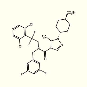 CCOC(=O)[C@H]1CC[C@H](n2ncc(C(=O)N(Cc3cc(F)cc(F)c3)CC(F)(F)c3c(Cl)cncc3Cl)c2C(F)(F)F)CC1